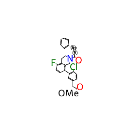 COC(=O)Cc1ccc(Cl)c(-c2ccc(F)c3c2CN(C(=O)[C@@H]2C[C@H]2c2ccccc2)CC3)c1